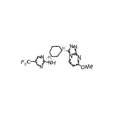 COc1ccn2c([C@H]3CCC[C@@H](Nc4ncc(C(F)(F)F)cn4)C3)nnc2n1